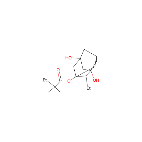 CCC1C2(O)CC3CC(O)(C2)CC1(OC(=O)C(C)(C)CC)C3